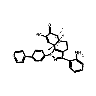 C[C@H]1C(=O)C(C#N)=C[C@@]2(C)c3c(c(-c4ccccc4N)nn3-c3ccc(-c4ccncc4)cc3)CC[C@H]12